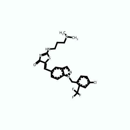 CN(C)CCCNC1=NC(=O)C(=Cc2ccc3c(cnn3Cc3ccc(Cl)cc3C(F)(F)F)c2)S1